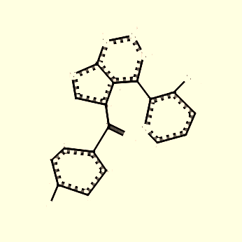 Nc1cccnc1-c1nnnc2[nH]cc(C(=O)c3ccc(O)cc3)c12